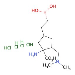 CN(C)CC1CC(CCB(O)O)CC1(N)C(=O)O.Cl.Cl.Cl.Cl